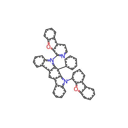 c1ccc(-c2c3c(cc4c5ccccc5n(-c5nccc6c5oc5ccccc56)c24)c2ccccc2n3-c2cccc3c2oc2ccccc23)cc1